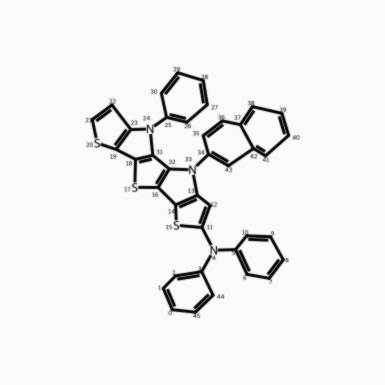 c1ccc(N(c2ccccc2)c2cc3c(s2)c2sc4c5sccc5n(-c5ccccc5)c4c2n3-c2ccc3ccccc3c2)cc1